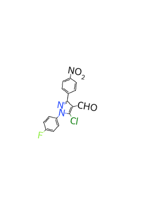 O=Cc1c(-c2ccc([N+](=O)[O-])cc2)nn(-c2ccc(F)cc2)c1Cl